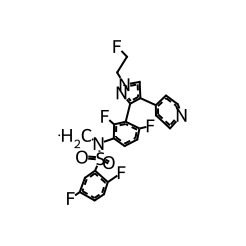 [CH2]N(c1ccc(F)c(-c2nn(CCF)cc2-c2ccncc2)c1F)S(=O)(=O)c1cc(F)ccc1F